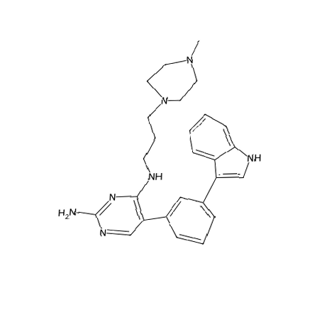 CN1CCN(CCCNc2nc(N)ncc2-c2cccc(-c3c[nH]c4ccccc34)c2)CC1